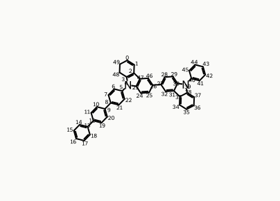 C1=Cc2c(n(-c3ccc(-c4ccc(-c5ccccc5)cc4)cc3)c3ccc(-c4ccc5c(c4)c4ccccc4n5-c4ccccc4)cc23)CC1